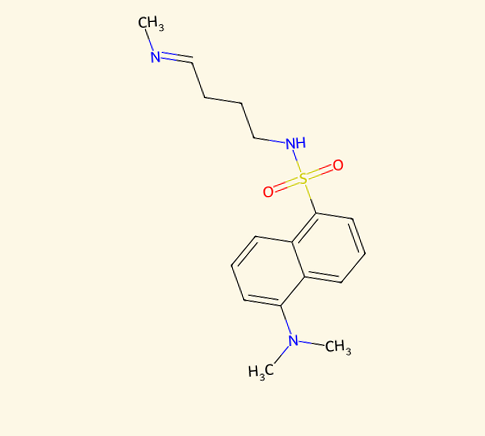 CN=CCCCNS(=O)(=O)c1cccc2c(N(C)C)cccc12